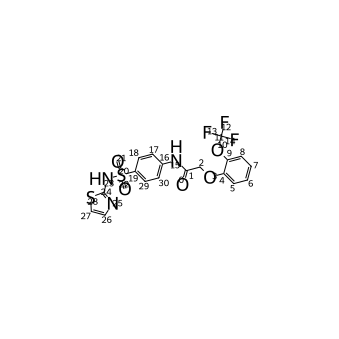 O=C(COc1ccccc1OC(F)(F)F)Nc1ccc(S(=O)(=O)Nc2nccs2)cc1